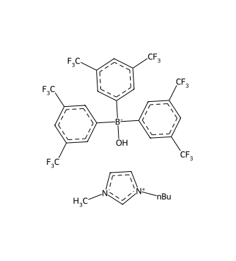 CCCC[n+]1ccn(C)c1.O[B-](c1cc(C(F)(F)F)cc(C(F)(F)F)c1)(c1cc(C(F)(F)F)cc(C(F)(F)F)c1)c1cc(C(F)(F)F)cc(C(F)(F)F)c1